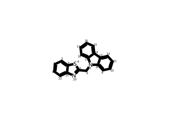 c1ccc2sc(Cn3c4ccccc4c4ccccc43)nc2c1